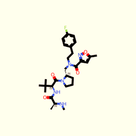 CN[C@@H](C)C(=O)N[C@H](C(=O)N1CCC[C@H]1CN(CCc1ccc(F)cc1)C(=O)c1cc(C)on1)C(C)(C)C